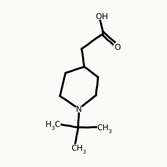 CC(C)(C)N1CCC(CC(=O)O)CC1